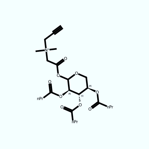 C#CC[N+](C)(C)CC(=O)OC1OC[C@@H](OC(=O)CCC)[C@H](OC(=O)CCC)[C@H]1OC(=O)CCC